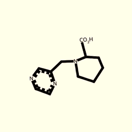 O=C(O)C1CCCCN1Cc1cnccn1